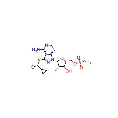 CC(Sc1nn([C@@H]2O[C@H](COS(N)(=O)=O)[C@@H](O)[C@@H]2F)c2ncnc(N)c12)C1CC1